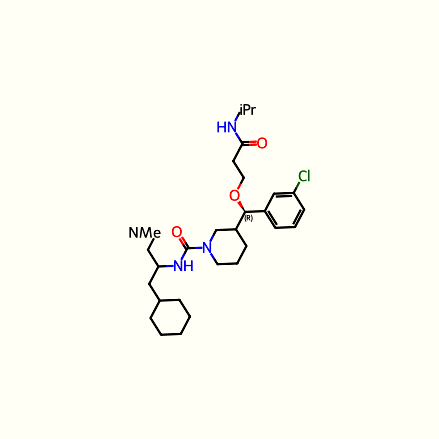 CNCC(CC1CCCCC1)NC(=O)N1CCCC([C@@H](OCCC(=O)NC(C)C)c2cccc(Cl)c2)C1